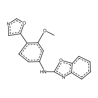 COc1cc(Nc2nc3ccccc3o2)ccc1-c1cnco1